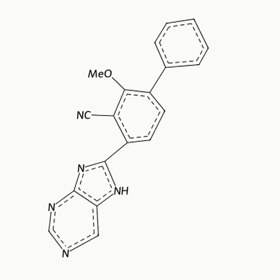 COc1c(-c2ccccc2)ccc(-c2nc3ncncc3[nH]2)c1C#N